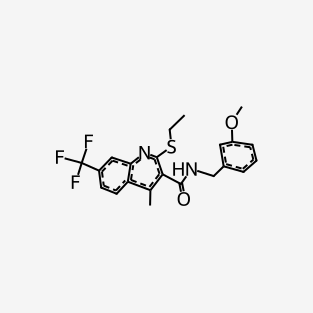 CCSc1nc2cc(C(F)(F)F)ccc2c(C)c1C(=O)NCc1cccc(OC)c1